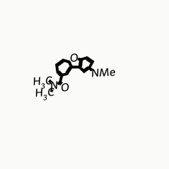 CNc1ccc2c(c1)C1=CC(C(=O)N(C)C)=CC=CC1O2